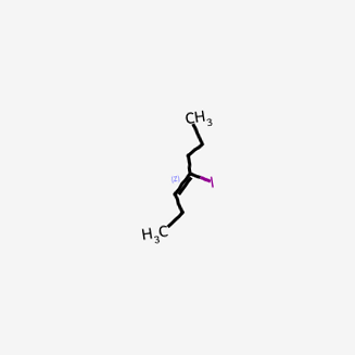 CC/C=C(\I)CCC